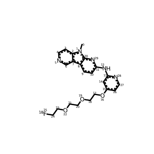 Cn1c2ccncc2c2ccc(Nc3cc(OCCOCCOCC[18F])ccn3)nc21